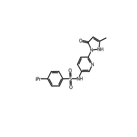 Cc1cc(=O)n(-c2ccc(NS(=O)(=O)c3ccc(C(C)C)cc3)cn2)[nH]1